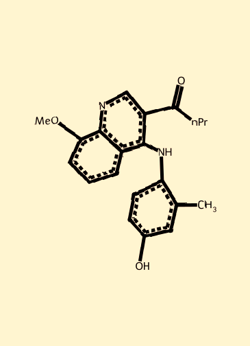 CCCC(=O)c1cnc2c(OC)cccc2c1Nc1ccc(O)cc1C